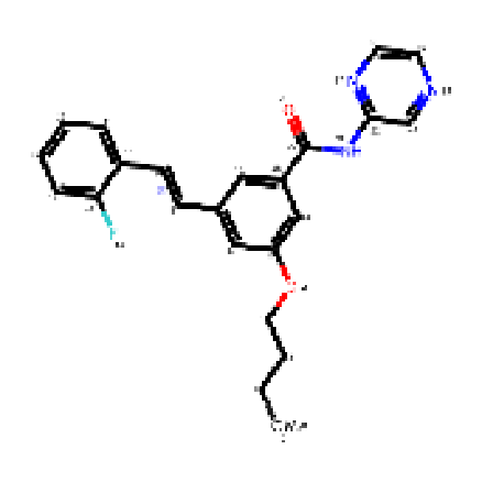 COCCCOc1cc(/C=C/c2ccccc2F)cc(C(=O)Nc2cnccn2)c1